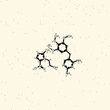 COc1cc(Cc2cnc(N)nc2N)cc(OC)c1OC.Cc1ncc([N+](=O)[O-])n1CCO